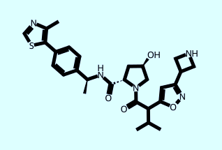 Cc1ncsc1-c1ccc([C@H](C)NC(=O)[C@@H]2C[C@@H](O)CN2C(=O)C(c2cc(C3CNC3)no2)C(C)C)cc1